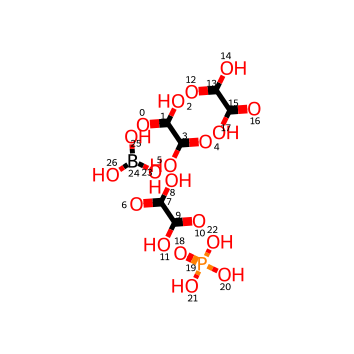 O=C(O)C(=O)O.O=C(O)C(=O)O.O=C(O)C(=O)O.O=P(O)(O)O.OB(O)O